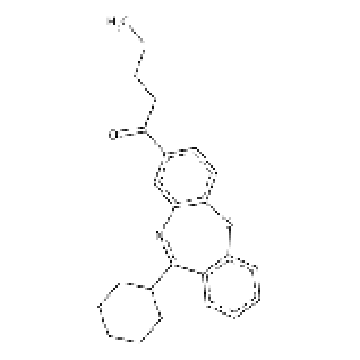 CCCCC(=O)c1ccc2c(c1)N=C(C1CCCCC1)c1ccccc1S2